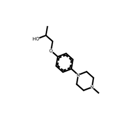 CC(O)COc1ccc(N2CCN(C)CC2)cc1